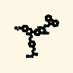 CNC(=O)COc1ccc(COC(=O)C(Cc2ccc([N+](=O)[O-])cc2)c2ccc(OC)c(NC(=O)OCC3c4ccccc4-c4ccccc43)c2)cc1